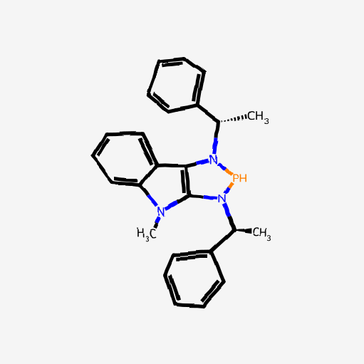 C[C@@H](c1ccccc1)N1PN([C@@H](C)c2ccccc2)c2c1c1ccccc1n2C